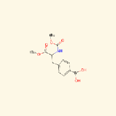 CC(C)(C)OC(=O)NC(Cc1ccc(B(O)O)cc1)C(=O)OC(C)(C)C